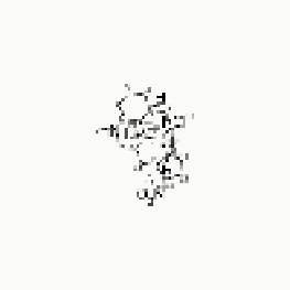 CN(C)C1CCC[C@@H]2CC[C@H]3[C@@H]4CC[C@H]([N+](=O)[O-])[C@@]4(C)CC[C@@H]3[C@@]12C.Cl